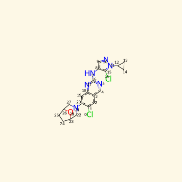 Clc1cc2cnc(Nc3cnn(C4CC4)c3Cl)nc2cc1N1CC2CCC(C1)O2